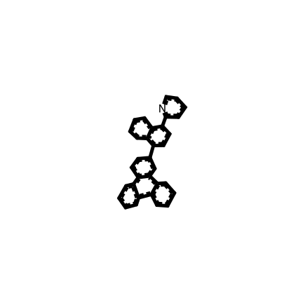 c1ccc(-c2ccc(-c3ccc4c5ccccc5c5ccccc5c4c3)c3ccccc23)nc1